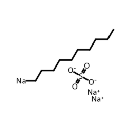 CCCCCCCCC[CH2][Na].O=S(=O)([O-])[O-].[Na+].[Na+]